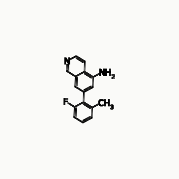 Cc1cccc(F)c1-c1cc(N)c2ccncc2c1